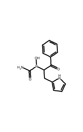 NC(=O)N(O)C(Cc1ccc[nH]1)C(=O)c1ccccc1